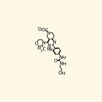 C[C@H]1COCCN1c1c2c(nc(-c3ccc(NC(=O)NCCO)cc3)[n+]1C(C)(C)C)CCN(C(=O)[O-])C2